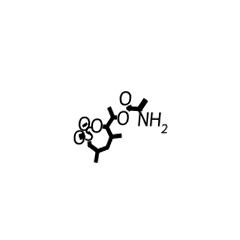 C=C(N)C(=O)OC(C)C1OS(=O)(=O)CC(C)CC1C